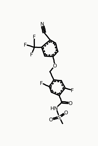 CS(=O)(=O)NC(=O)c1cc(F)c(COc2ccc(C#N)c(C(F)(F)F)c2)cc1F